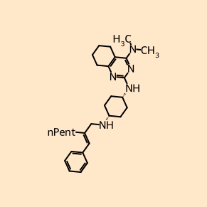 CCCCCC(=Cc1ccccc1)CN[C@H]1CC[C@@H](Nc2nc3c(c(N(C)C)n2)CCCC3)CC1